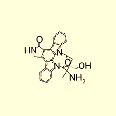 CC1(N)C23OC(C[C@@]12CO)n1c2ccccc2c2c4c(c5c6ccccc6n3c5c21)CNC4=O